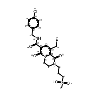 CS(=O)(=O)CCCN1CCn2c(c(CF)cc(C(=O)NCc3ccc(Cl)cc3)c2=O)C1=O